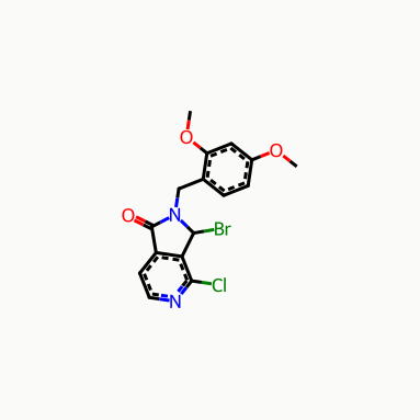 COc1ccc(CN2C(=O)c3ccnc(Cl)c3C2Br)c(OC)c1